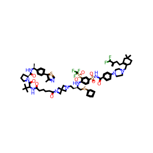 C=C(CCC1=C(CN2CCN(c3ccc(C(=O)NS(=O)(=O)c4ccc(N[C@H](CCN5CC6(C5)CN(C(=O)CCCCC(=O)NC(C(=O)N5CCC[C@H]5C(=O)N[C@@H](C)c5ccc(-c7scnc7C)cc5)C(C)(C)C)C6)CSc5ccccc5)c(S(=O)(=O)C(F)(F)F)c4)cc3)CC2)CCC(C)(C)C1)C(F)F